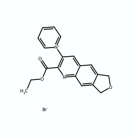 CCOC(=O)c1nc2cc3c(cc2cc1-[n+]1ccccc1)COC3.[Br-]